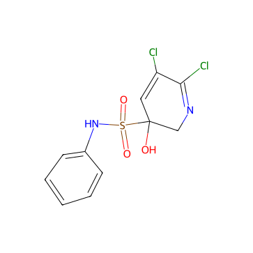 O=S(=O)(Nc1ccccc1)C1(O)C=C(Cl)C(Cl)=NC1